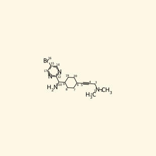 CN(C)CC#CC1CCC(C(N)c2ncc(Br)cn2)CC1